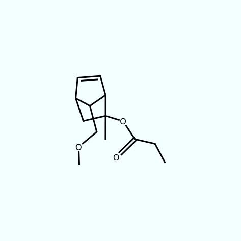 CCC(=O)OC1(C)CC2C=CC1C2COC